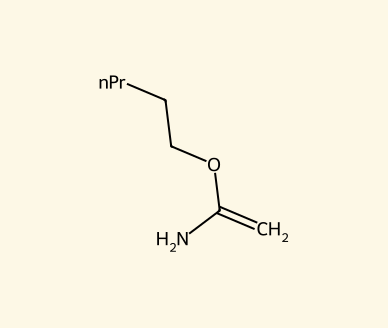 C=C(N)OCCCCC